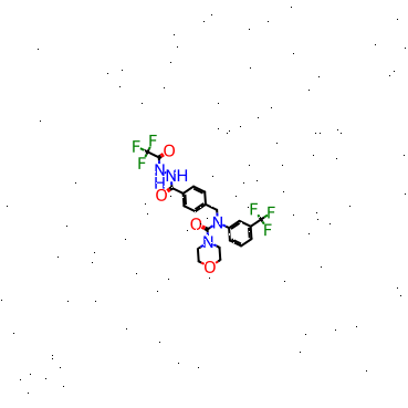 O=C(NNC(=O)C(F)(F)F)c1ccc(CN(C(=O)N2CCOCC2)c2cccc(C(F)(F)F)c2)cc1